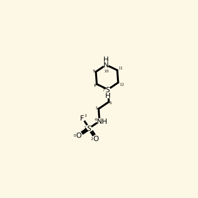 O=S(=O)(F)NCC[SH]1CCNCC1